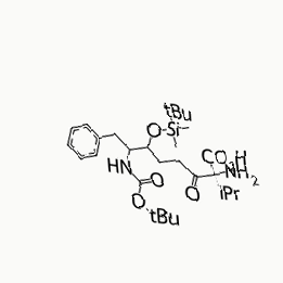 CC(C)[C@@](N)(C(=O)O)C(=O)CCC(O[Si](C)(C)C(C)(C)C)C(Cc1ccccc1)NC(=O)OC(C)(C)C